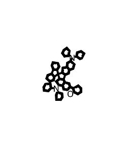 c1ccc(N(c2ccccc2)c2ccc3cc4c(cc3c2)C2(c3ccccc3-c3ccccc32)c2cc(N(c3ccccc3)c3ccccc3)c3cc5oc6ccccc6c5cc3c2-4)cc1